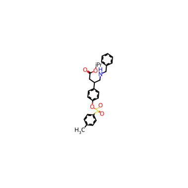 Cc1ccc(S(=O)(=O)Oc2ccc(C(CNCc3ccccc3)CC(=O)OC(C)C)cc2)cc1